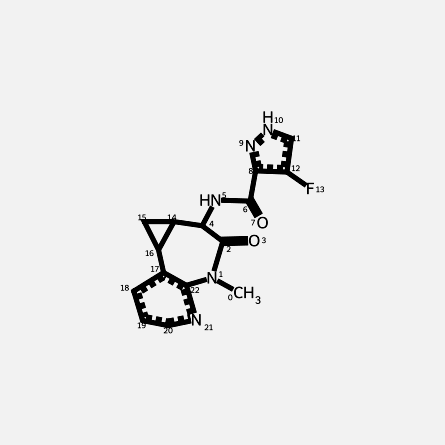 CN1C(=O)C(NC(=O)c2n[nH]cc2F)C2CC2c2cccnc21